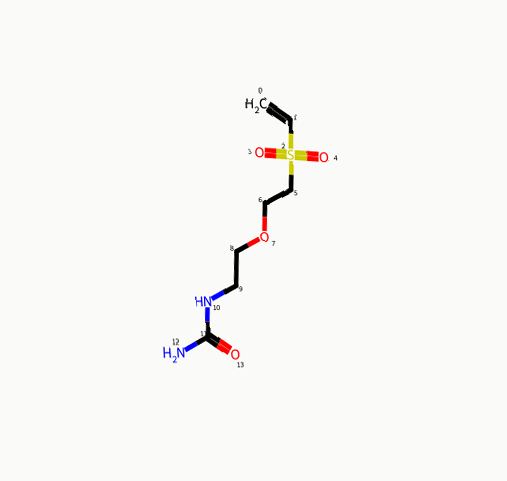 C=CS(=O)(=O)CCOCCNC(N)=O